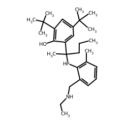 CCCC(C)(Pc1c(C)cccc1CNCC)c1cc(C(C)(C)C)cc(C(C)(C)C)c1O